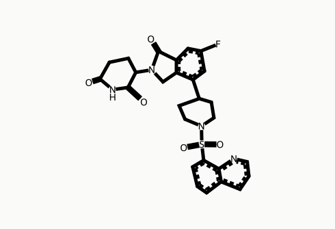 O=C1CCC(N2Cc3c(cc(F)cc3C3CCN(S(=O)(=O)c4cccc5cccnc45)CC3)C2=O)C(=O)N1